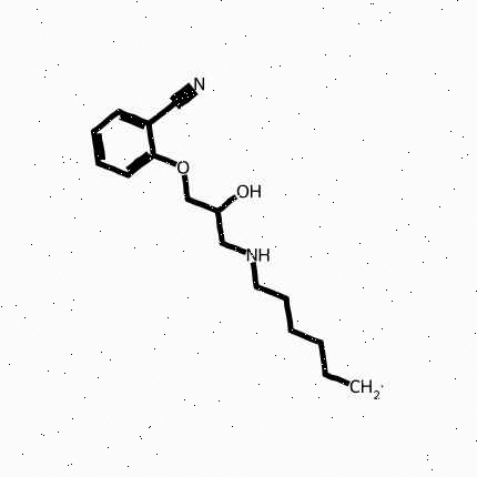 [CH2]CCCCCNCC(O)COc1ccccc1C#N